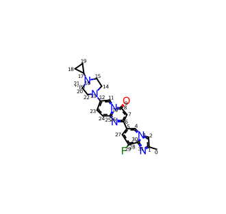 Cc1cn2cc(-c3cc(=O)n4cc(N5CCN(C6CC6)[C@@H](C)C5)ccc4n3)cc(F)c2n1